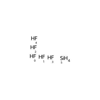 F.F.F.F.F.[SiH4]